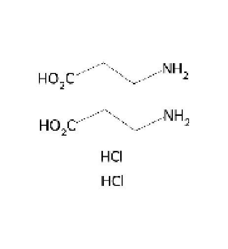 Cl.Cl.NCCC(=O)O.NCCC(=O)O